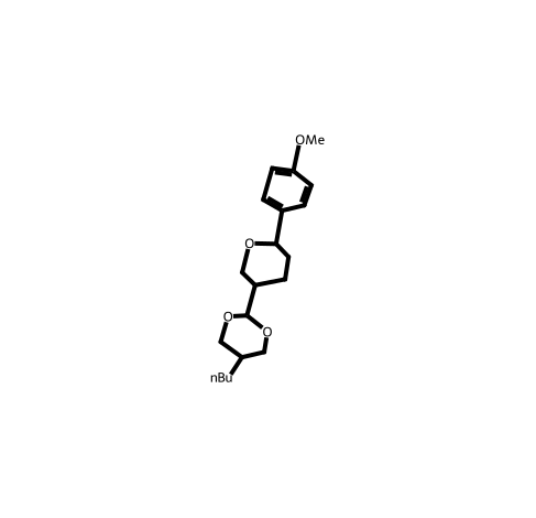 CCCCC1COC(C2CCC(c3ccc(OC)cc3)OC2)OC1